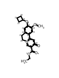 CCOC(=O)c1cn2c(cc1=O)-c1cc(OC)c(OC3CCC3)cc1CC2